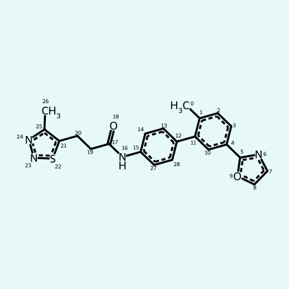 Cc1ccc(-c2ncco2)cc1-c1ccc(NC(=O)CCc2snnc2C)cc1